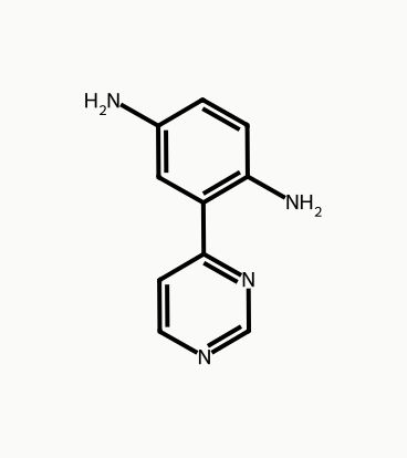 Nc1ccc(N)c(-c2ccncn2)c1